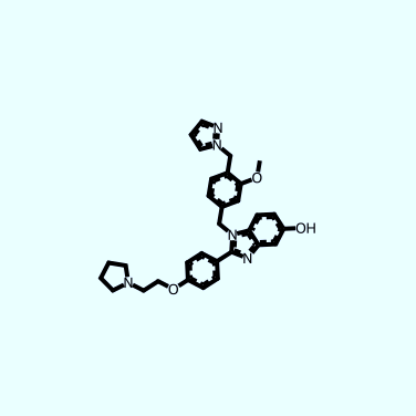 COc1cc(Cn2c(-c3ccc(OCCN4CCCC4)cc3)nc3cc(O)ccc32)ccc1Cn1cccn1